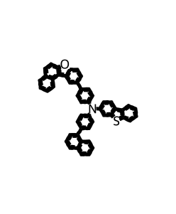 c1ccc2c(-c3ccc(N(c4ccc(-c5ccc6oc7ccc8ccccc8c7c6c5)cc4)c4ccc5c(c4)sc4ccccc45)cc3)cccc2c1